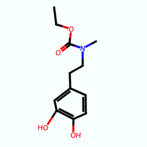 CCOC(=O)N(C)CCc1ccc(O)c(O)c1